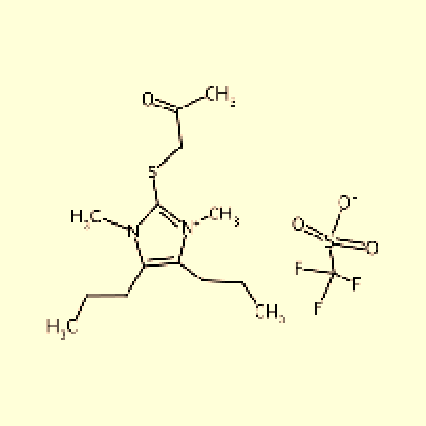 CCCc1c(CCC)[n+](C)c(SCC(C)=O)n1C.O=S(=O)([O-])C(F)(F)F